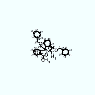 CC(ON(C(C)(C)COCc1ccccc1)C(C)(COCc1ccccc1)c1ccccc1)c1ccccc1